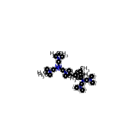 Cc1cc(C)c(B(c2c(C)cc(CCC3(C)c4ccccc4N(c4ccc(-c5nc(-c6ccc(N7c8ccccc8C(C)(C)c8ccccc87)cc6)nc(-c6ccc(N7c8ccccc8C(C)(C)c8ccccc87)cc6)n5)cc4)c4ccccc43)cc2C)c2c(C)cc(N(c3ccc(N(c4ccccc4)c4ccccc4)cc3)c3ccc(N(c4ccccc4)c4ccccc4)cc3)cc2C)c(C)c1